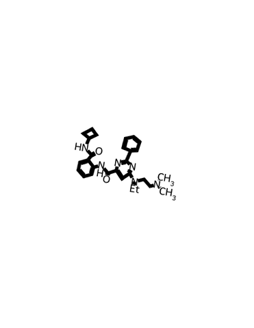 CCN(CCN(C)C)c1cc(C(=O)Nc2ccccc2C(=O)NC2CCC2)nc(-c2ccccc2)n1